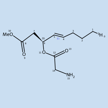 [3H]CCC/C=C/[C@H](CC(=O)OC)OC(=O)CN